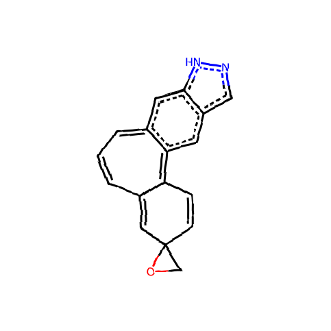 C1=CC2=CC3(C=CC2=c2cc4cn[nH]c4cc2=C1)CO3